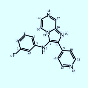 Fc1cccc(Nc2c(-c3ccncc3)nc3cnccn23)c1